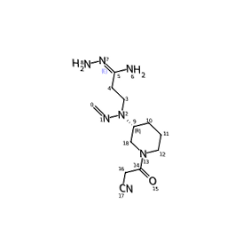 C=NN(CC/C(N)=N\N)[C@@H]1CCCN(C(=O)CC#N)C1